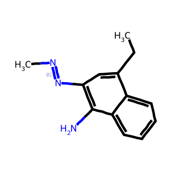 CCc1cc(/N=N/C)c(N)c2ccccc12